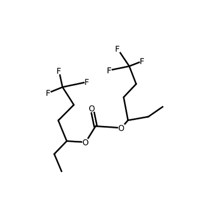 CCC(CCC(F)(F)F)OC(=O)OC(CC)CCC(F)(F)F